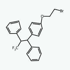 FC(F)(F)C(c1ccccc1)C(c1ccccc1)c1ccc(OCCBr)cc1